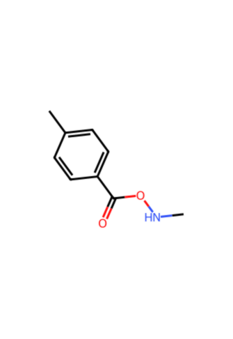 CNOC(=O)c1ccc(C)cc1